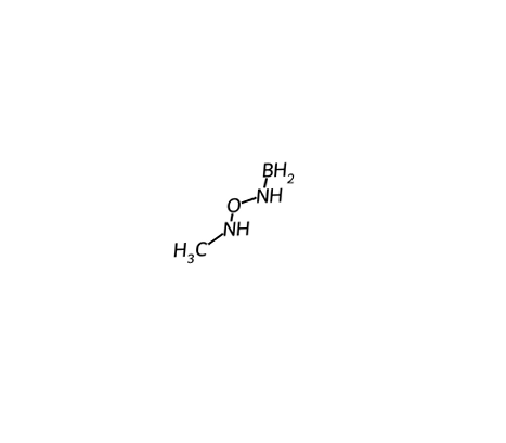 BNONC